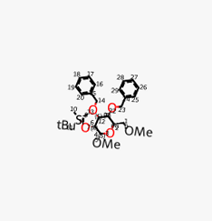 COC[C@H]1O[C@H](OC)[C@H](O[Si](C)(C)C(C)(C)C)[C@@H](OCc2ccccc2)[C@@H]1OCc1ccccc1